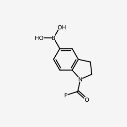 O=C(F)N1CCc2cc(B(O)O)ccc21